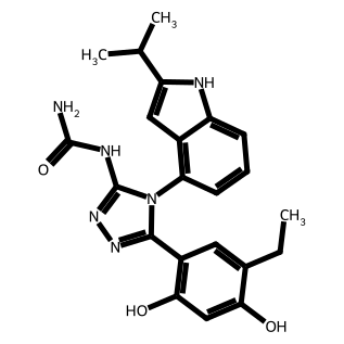 CCc1cc(-c2nnc(NC(N)=O)n2-c2cccc3[nH]c(C(C)C)cc23)c(O)cc1O